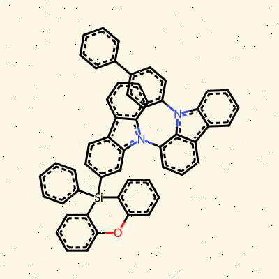 c1ccc(-c2ccc(-n3c4ccccc4c4cccc(-n5c6ccccc6c6ccc([Si]7(c8ccccc8)c8ccccc8Oc8ccccc87)cc65)c43)cc2)cc1